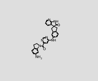 Nc1ccc2c(c1)N(C(=O)c1cc(Nc3ccc4c(c3)CC3(C4)C(=O)Nc4ncccc43)ncn1)CC2